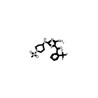 CS(=O)(=O)N1CCC(Nc2nc(N)c(C(=O)c3ccccc3C(F)(F)F)s2)CC1